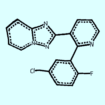 Fc1ccc(Cl)cc1-c1ncccc1-c1nc2ccccn2n1